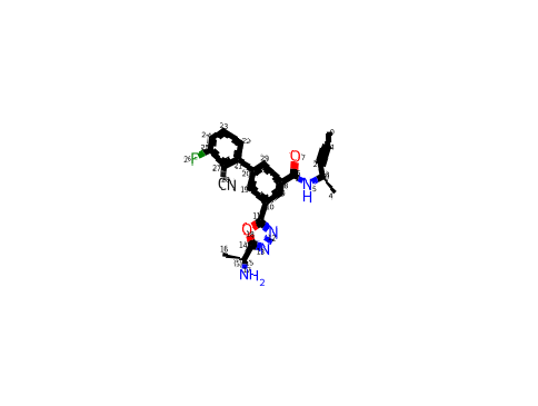 CC#C[C@@H](C)NC(=O)c1cc(-c2nnc([C@H](C)N)o2)cc(-c2cccc(F)c2C#N)c1